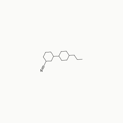 CCCC1CCC(C2CCCC(C#N)C2)CC1